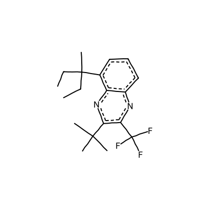 CCC(C)(CC)c1cccc2nc(C(F)(F)F)c(C(C)(C)C)nc12